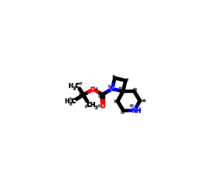 CC(C)(C)OC(=O)N1CCC12CCNCC2